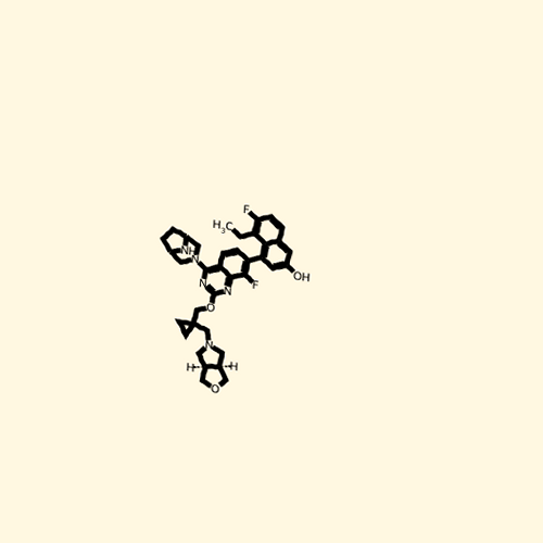 CCc1c(F)ccc2cc(O)cc(-c3ccc4c(N5CC6CCC(C5)N6)nc(OCC5(CN6C[C@H]7COC[C@H]7C6)CC5)nc4c3F)c12